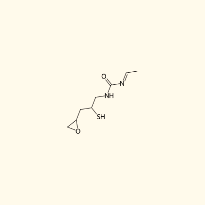 CC=NC(=O)NCC(S)CC1CO1